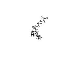 C=C(C)CCCCCCC(C)(C)C(F)CNC(=C)C(C)C